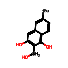 CC(C)(C)c1ccc2c(O)c([SiH2]O)c(O)cc2c1